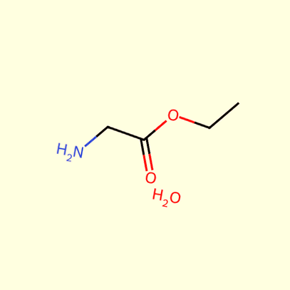 CCOC(=O)CN.O